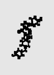 Cc1ccc(CN2CCC(O)(Cn3cnc4c(cnn4-c4ccc(F)cc4)c3=O)CC2)cc1